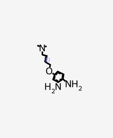 CN(C)C/C=C/COc1ccc(N)c(N)c1